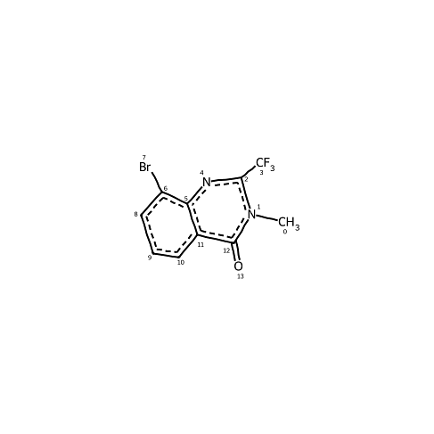 Cn1c(C(F)(F)F)nc2c(Br)cccc2c1=O